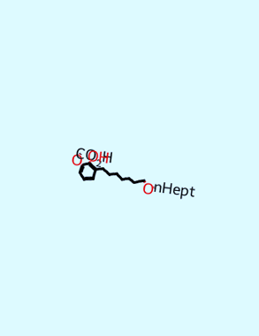 CCCCCCCOCCCCCCCc1cccc(OC(=O)O)c1O